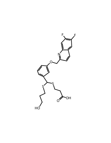 O=C(O)CCSC(SCCCO)c1cccc(OCc2ccc3cc(F)c(F)cc3n2)c1